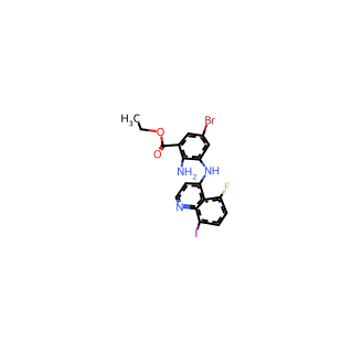 CCOC(=O)c1cc(Br)cc(Nc2ccnc3c(I)ccc(F)c23)c1N